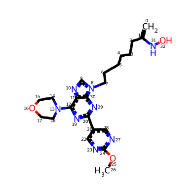 C=C(CCCCCCn1cnc2c(N3CCOCC3)nc(-c3cnc(OC)nc3)nc21)NO